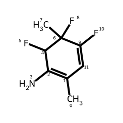 CC1=C(N)C(F)C(C)(F)C(F)=C1